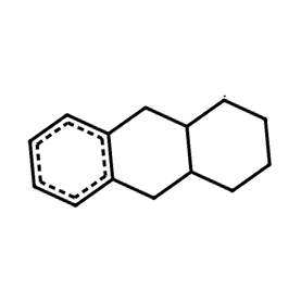 [CH]1CCCC2Cc3ccccc3CC12